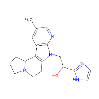 Cc1cnc2c(c1)c1c(n2CC(O)c2ncc[nH]2)CCN2CCCC12